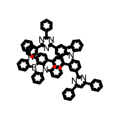 c1ccc(-c2cc(-c3ccccc3)nc(-c3ccc(-n4c5ccccc5c5cc(-c6nc(-c7ccccc7)nc(-c7ccccc7)n6)ccc54)c(-c4ccc(-c5ccc6c7c5N(c5ccccc5)c5ccccc5B7c5ccccc5N6c5ccccc5)cc4)c3)n2)cc1